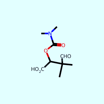 CN(C)C(=O)OC(C(=O)O)C(C)(C)C=O